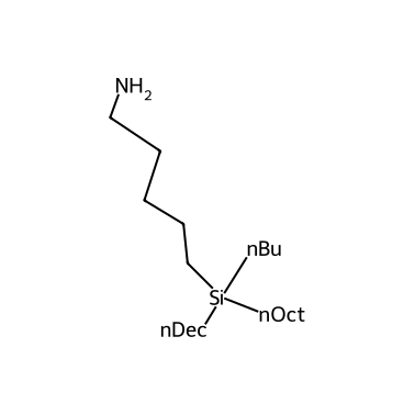 CCCCCCCCCC[Si](CCCC)(CCCCCN)CCCCCCCC